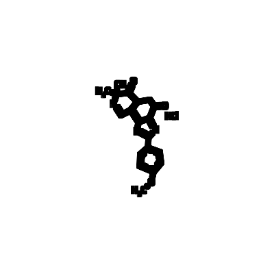 COc1ccc(C2=NC3=C4C=NC(C)(C)C(=O)C4CC(=O)C3=N2)cc1.Cl